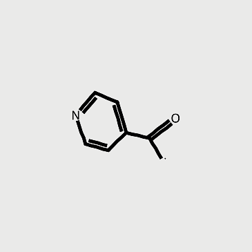 [CH2]C(=O)c1ccncc1